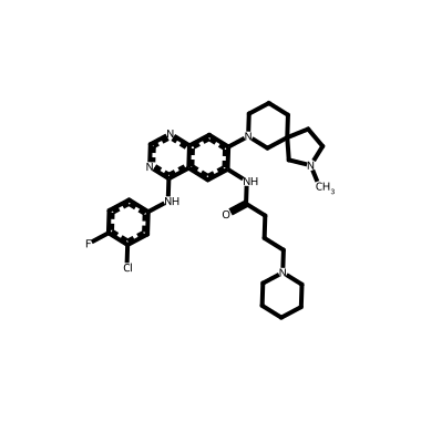 CN1CCC2(CCCN(c3cc4ncnc(Nc5ccc(F)c(Cl)c5)c4cc3NC(=O)CCCN3CCCCC3)C2)C1